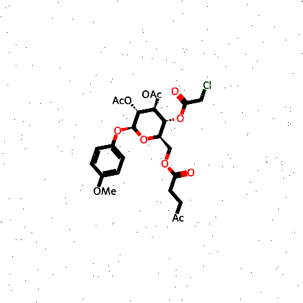 COc1ccc(O[C@@H]2O[C@H](COC(=O)CCC(C)=O)[C@@H](OC(=O)CCl)[C@H](OC(C)=O)[C@H]2OC(C)=O)cc1